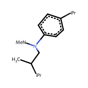 CNN(CC(C)C(C)C)c1ccc(C(C)C)cc1